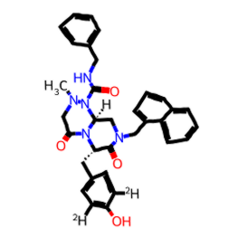 [2H]c1cc(C[C@H]2C(=O)N(Cc3cccc4ccccc34)C[C@H]3N2C(=O)CN(C)N3C(=O)NCc2ccccc2)cc([2H])c1O